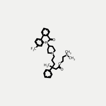 CN(C)CCOC(=O)CC(C)(CCCN1CCC(NC(=O)c2ccccc2-c2ccc(C(F)(F)F)cc2)CC1)c1ccccc1